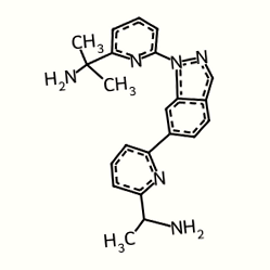 CC(N)c1cccc(-c2ccc3cnn(-c4cccc(C(C)(C)N)n4)c3c2)n1